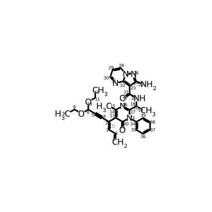 C=C/C=C(/C#CC(OCC)OCC)c1c(C)nc([C@H](C)NC(=O)c2c(N)nn3cccnc23)n(-c2ccccc2)c1=O